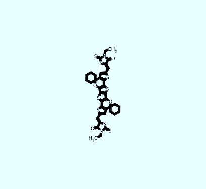 CCN1C(=O)/C(=C/c2cc3c(s2)-c2sc4c5c(sc4c2OC32CCCCC2)-c2sc(/C=C3\SC(=S)N(CC)C3=O)cc2C2(CCCCC2)O5)SC1=S